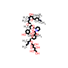 C=C/C=C(\C)C(C[C@@H]1CC[C@@H](C)[C@](O)(C(=O)C(=O)N2CCCC[C@H]2C(=O)O[C@@H](CC(=O)[C@H](C)/C=C(\C)[C@@H](O)[C@@H](OC)C(=O)[C@H](C)C[C@H](C)/C=C/C)[C@H](C)C[C@@H]2CC[C@@H](O)[C@H](OC)C2)O1)OC[C@@H](O)[C@@H](O)[C@H](O)[C@H](O)CO